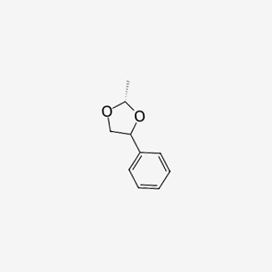 C[C@H]1OCC(c2ccccc2)O1